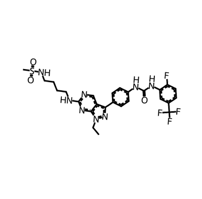 CCn1nc(-c2ccc(NC(=O)Nc3cc(C(F)(F)F)ccc3F)cc2)c2cnc(NCCCCNS(C)(=O)=O)nc21